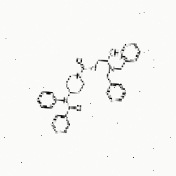 CC(COC(=O)N1CCC(N(C(=O)c2ccccc2)c2ccccc2)CC1)N(Cc1ccccc1)Cc1ccccc1